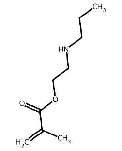 C=C(C)C(=O)OCCNCCC